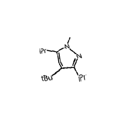 CC(C)c1nn(C)c(C(C)C)c1C(C)(C)C